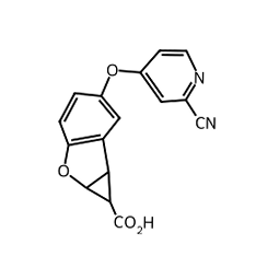 N#Cc1cc(Oc2ccc3c(c2)C2C(O3)C2C(=O)O)ccn1